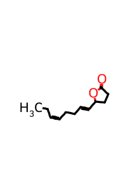 CC/C=C\CC/C=C/C1CCC(=O)O1